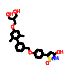 Cc1cc(OCC(CO)CO)cc(C)c1-c1cccc(COc2ccc(C3=CC(O)N[S+]3[O-])cc2)c1